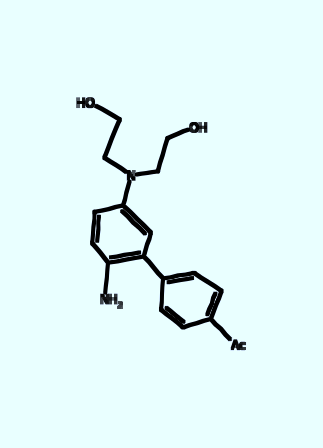 CC(=O)c1ccc(-c2cc(N(CCO)CCO)ccc2N)cc1